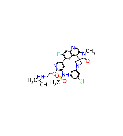 CC(C)NCCOc1ncc(-c2cc3c4c(cnc3cc2F)N(C)C(=O)C42CN(c3cccc(Cl)c3)C2)cc1NS(C)(=O)=O